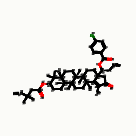 CNC[C@@H](OC(=O)c1ccc(Cl)cc1)[C@@]12CC[C@]3(C)[C@H](CC[C@@H]4[C@@]5(C)CC[C@H](OC(=O)CC(C)(C)C(=O)O)C(C)(C)[C@@H]5CC[C@]43C)C1=C(C(C)C)C(=O)C2